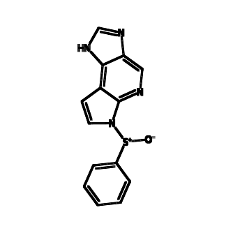 [O-][S+](c1ccccc1)n1ccc2c3[nH]cnc3cnc21